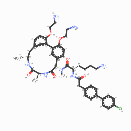 C[C@@H]1NC(=O)[C@@H](N(C)C(=O)[C@H](CCCCN)NC(=O)Cc2ccc(-c3ccc(Cl)cc3)cc2)c2ccc(OCCN)c(c2)-c2cc(ccc2OCCN)C[C@@H](C(=O)O)NC1=O